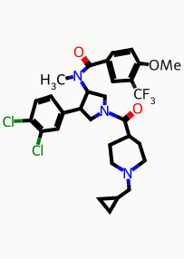 COc1ccc(C(=O)N(C)C2CN(C(=O)C3CCN(CC4CC4)CC3)CC2c2ccc(Cl)c(Cl)c2)cc1C(F)(F)F